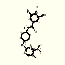 Cc1cnc(NC2CCC(NC(=O)c3cc(F)c(F)c(F)c3)CC2)nc1N(C)C